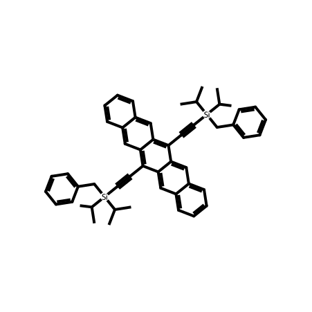 CC(C)[Si](C#Cc1c2cc3ccccc3cc2c(C#C[Si](Cc2ccccc2)(C(C)C)C(C)C)c2cc3ccccc3cc12)(Cc1ccccc1)C(C)C